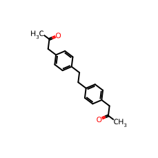 CC(=O)Cc1ccc(CCc2ccc(CC(C)=O)cc2)cc1